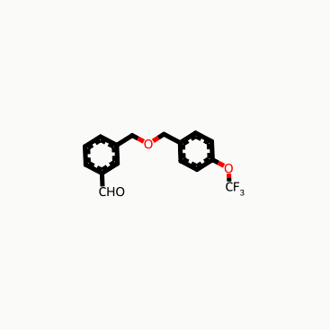 O=Cc1cccc(COCc2ccc(OC(F)(F)F)cc2)c1